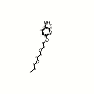 CCCOCCOCCOc1ccc(N)cn1